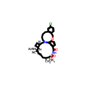 CC(=O)N[C@]1(C#N)/C=C/C[C@H](C)[C@@H](C)S(=O)(=O)NC(=O)c2ccc3c(c2)N(CCCCc2cc(Cl)ccc2CO3)C[C@@H]2CC[C@H]21